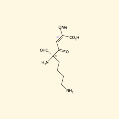 CO/C(=C/C(=O)[C@@](N)(C=O)CCCCN)C(=O)O